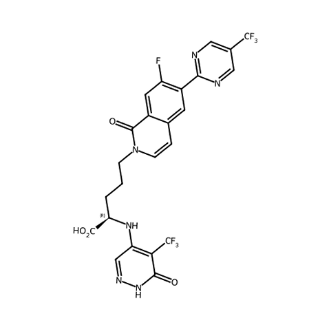 O=C(O)[C@@H](CCCn1ccc2cc(-c3ncc(C(F)(F)F)cn3)c(F)cc2c1=O)Nc1cn[nH]c(=O)c1C(F)(F)F